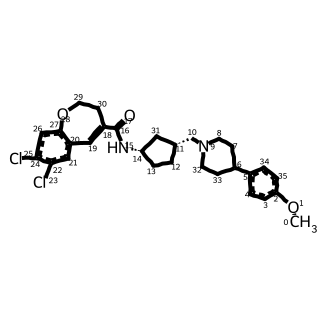 COc1ccc(C2CCN(C[C@@H]3CC[C@H](NC(=O)C4=Cc5cc(Cl)c(Cl)cc5OCC4)C3)CC2)cc1